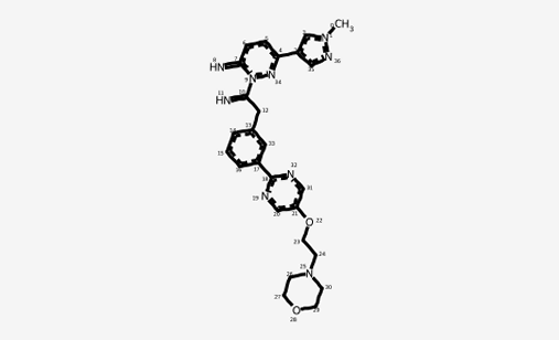 Cn1cc(-c2ccc(=N)n(C(=N)Cc3cccc(-c4ncc(OCCN5CCOCC5)cn4)c3)n2)cn1